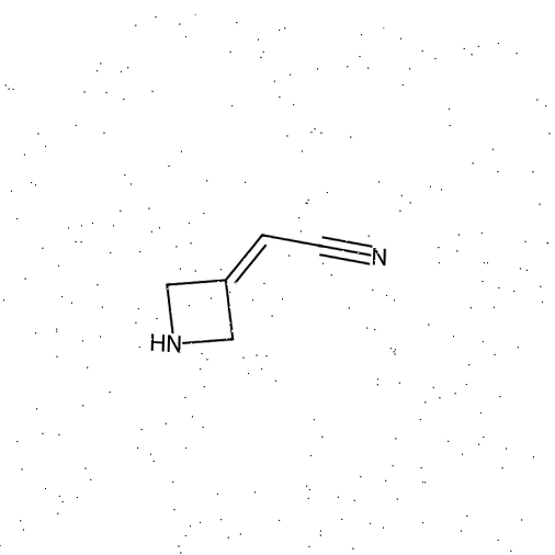 N#CC=C1CNC1